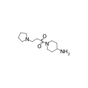 NC1CCN(S(=O)(=O)CCN2CCCC2)CC1